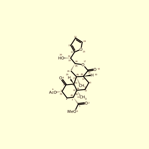 COC(=O)[C@@H]1C[C@H](OC(C)=O)C(=O)[C@H]2[C@@]1(C)CC[C@H]1C(=O)O[C@@H]([C@H](O)c3ccco3)C[C@]21C